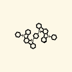 c1ccc2c3c(ccc4c5ccccc5n(-c5ccc(-n6c7ccccc7c7ccc8c(c9ccccc9n8-c8ccccc8)c76)cc5)c43)n(-c3ccccc3)c2c#1